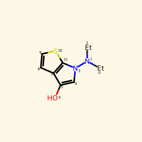 CCN(CC)n1cc(O)c2ccsc21